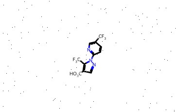 O=C(O)c1cnn(-c2ccc(C(F)(F)F)cn2)c1C(F)(F)F